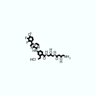 CCc1cc(Nc2nccn3c(-c4ccc(OC)c(F)c4F)cnc23)ccc1C(=O)NCC(O)CNC(=O)CC(O)CN.Cl